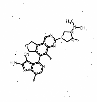 CN(C)[C@@H]1CN(c2ncc3c4c(c(-c5ncc(F)c6sc(N)c(C#N)c56)c(F)c3n2)COC4)C[C@@H]1F